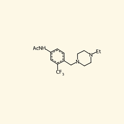 CCN1CCN(Cc2ccc(NC(C)=O)cc2C(F)(F)F)CC1